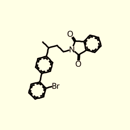 CC(CCN1C(=O)c2ccccc2C1=O)c1ccc(-c2ccccc2Br)cc1